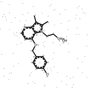 COCCn1c(C)c(C)c2nccc(OCc3ccc(Cl)cc3)c21.Cl